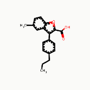 CCCc1ccc(-c2c(C(=O)O)oc3ccc(C)cc23)cc1